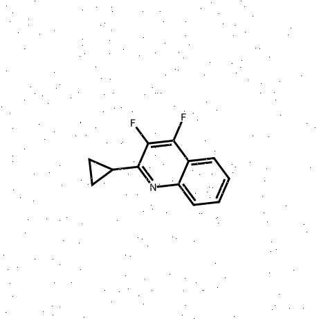 Fc1c(C2CC2)nc2ccccc2c1F